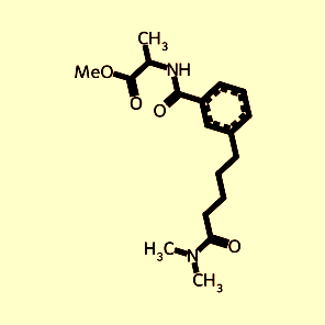 COC(=O)C(C)NC(=O)c1cccc(CCCCC(=O)N(C)C)c1